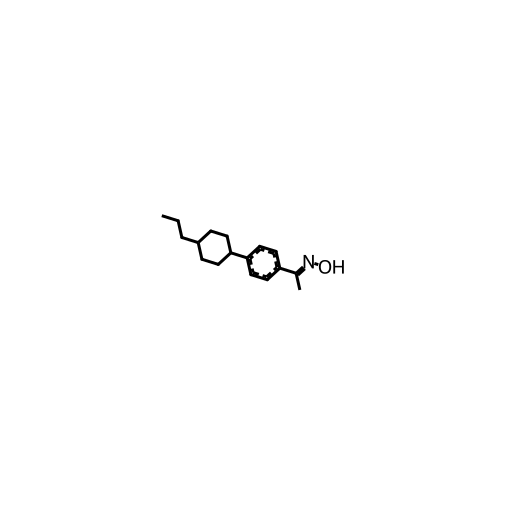 CCCC1CCC(c2ccc(C(C)=NO)cc2)CC1